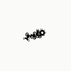 CC(C)C(=O)NCC(=O)OC(=O)N(C)C1CCCCC1=O